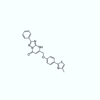 Cc1csc(-c2ccc(OCc3cc(=O)n4nc(-c5ccccc5)nc4[nH]3)cc2)n1